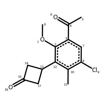 COc1c(C(C)=O)cc(Cl)c(C)c1C1CC(=O)C1